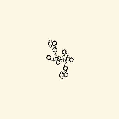 O=C(OC1(CCN2CCN(c3cccc4c3OCCO4)CC2)CN(Cc2ccccc2)c2ccccc21)C(=O)OC1(CCN2CCN(c3cccc4c3OCCO4)CC2)CN(Cc2ccccc2)c2ccccc21